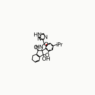 CC(C)c1ccc2c(c1)OC1(O)C3=C(CCC=C3)C(=O)C21NC(=O)c1nc[nH]n1